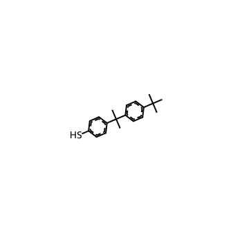 CC(C)(C)c1ccc(C(C)(C)c2ccc(S)cc2)cc1